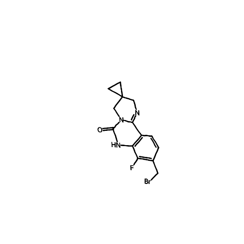 O=C1Nc2c(ccc(CBr)c2F)C2=NCC3(CC3)CN12